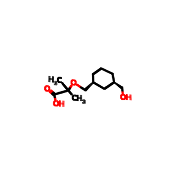 CC(C)(OC[C@H]1CCC[C@@H](CO)C1)C(=O)O